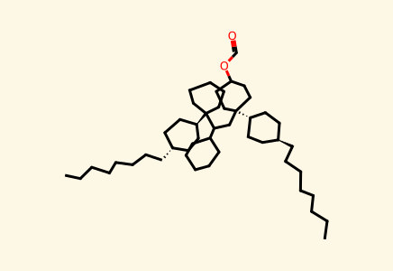 CCCCCCCC[C@H]1CC[C@H](C2(CC(C3CCCCC3)C3([C@H]4CC[C@H](CCCCCCCC)CC4)CCCCC3)CCC(OC=O)CC2)CC1